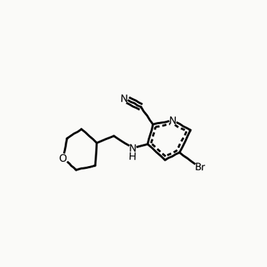 N#Cc1ncc(Br)cc1NCC1CCOCC1